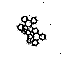 c1ccc2c(c1)-c1ccccc1N(c1ccc3c(c1)C1(c4ccccc4-c4ccccc4-3)c3ccccc3-c3c1ccc1c3oc3ccccc31)c1ccccc1-2